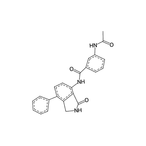 CC(=O)Nc1cccc(C(=O)Nc2ccc(-c3ccccc3)c3c2C(=O)NC3)c1